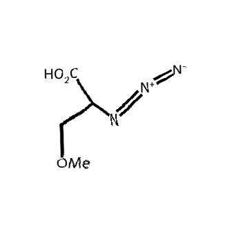 COCC(N=[N+]=[N-])C(=O)O